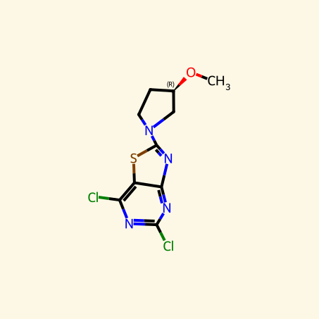 CO[C@@H]1CCN(c2nc3nc(Cl)nc(Cl)c3s2)C1